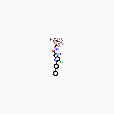 CC(C)(C)OC(=O)CNC(=O)c1cc2nc(-c3ccc(-c4ccccc4)cc3)c(Cl)cc2[nH]1